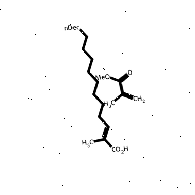 C=C(C)C(=O)OC.CCCCCCCCCCCCCCCCCCC=C(C)C(=O)O